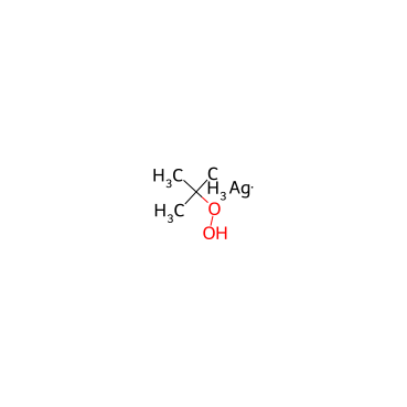 CC(C)(C)OO.[Ag]